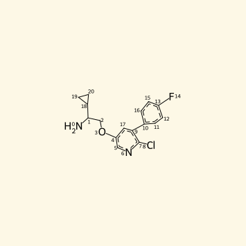 NC(COc1cnc(Cl)c(-c2ccc(F)cc2)c1)C1CC1